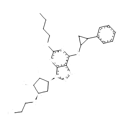 CCCCSc1nc(NC2CC2c2ccccc2)c2nnn([C@H]3C[C@@H](OCCO)[C@H](O)[C@@H]3O)c2n1